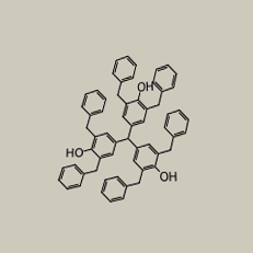 Oc1c(Cc2ccccc2)cc(C(c2cc(Cc3ccccc3)c(O)c(Cc3ccccc3)c2)c2cc(Cc3ccccc3)c(O)c(Cc3ccccc3)c2)cc1Cc1ccccc1